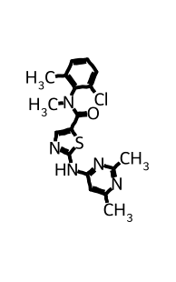 Cc1cc(Nc2ncc(C(=O)N(C)c3c(C)cccc3Cl)s2)nc(C)n1